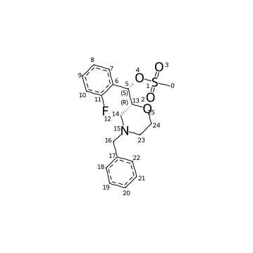 CS(=O)(=O)O[C@@H](c1ccccc1F)[C@H]1CN(Cc2ccccc2)CCO1